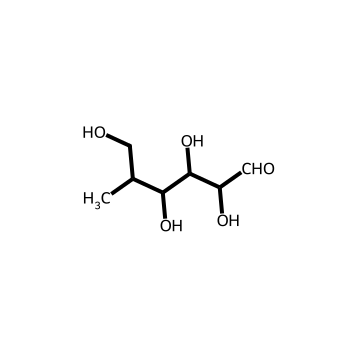 CC(CO)C(O)C(O)C(O)C=O